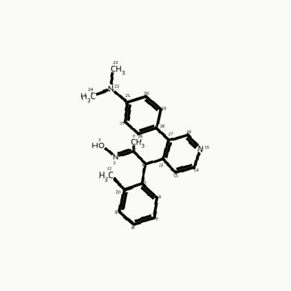 CC(=NO)C(c1ccccc1C)c1ccncc1-c1ccc(N(C)C)cc1